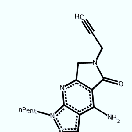 C#CCN1Cc2nc3c(cnn3CCCCC)c(N)c2C1=O